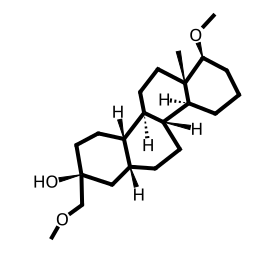 COC[C@]1(O)CC[C@H]2[C@H](CC[C@@H]3[C@@H]2CC[C@]2(C)[C@@H](OC)CCC[C@@H]32)C1